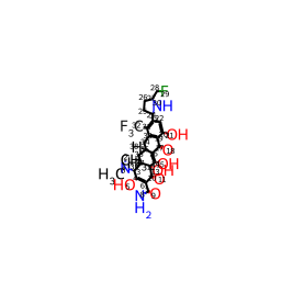 CN(C)[C@@H]1C(O)=C(C(N)=O)C(=O)[C@@]2(O)C(O)=C3C(=O)c4c(O)cc(C5CCC(CF)N5)c(C(F)(F)F)c4C[C@H]3C[C@@H]12